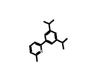 Cc1cccc(-c2cc(C(C)C)[c]c(C(C)C)c2)n1